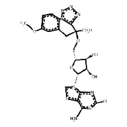 Nc1nc(Cl)nc2c1ncn2[C@@H]1O[C@H](COC(Cc2cccc(OC(F)(F)F)c2)(C(=O)O)c2nnn[nH]2)[C@@H](O)[C@H]1O